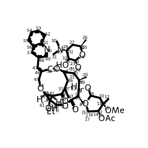 CC[C@H]1OC(=O)[C@H](C)[C@@H](OC2C[C@@](C)(OC)[C@@H](OC(C)=O)[C@H](C)O2)[C@H](C)[C@@H](O[C@@H]2O[C@H](C)C[C@H](N(C)C)C2O)[C@@]2(C)C[C@@H](C)C(=O)[C@H](C)[C@@H](OCC(=Cc3cnc4ccccc4c3)CO2)[C@]1(C)O